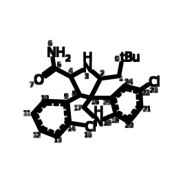 CC(C)(C)CC1NC(C(N)=O)C(c2ccccc2Cl)C12CNc1ccc(Cl)cc12